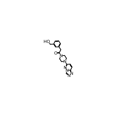 O=C(Cc1cccc(CO)c1)N1CCN(c2ccc3nncn3n2)CC1